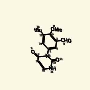 COc1c(C=O)cc(-n2c(=O)cc[nH]c2=O)cc1C(C)(C)C